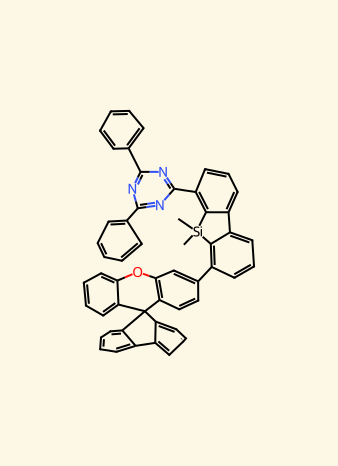 C[Si]1(C)c2c(-c3ccc4c(c3)Oc3ccccc3C43c4ccccc4-c4ccccc43)cccc2-c2cccc(-c3nc(-c4ccccc4)nc(-c4ccccc4)n3)c21